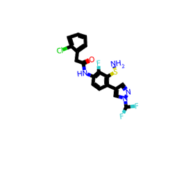 NSc1c(-c2cnn(C(F)F)c2)ccc(NC(=O)Cc2ccccc2Cl)c1F